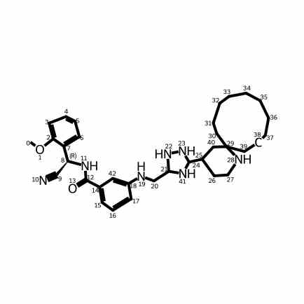 COc1ccccc1[C@H](C#N)NC(=O)c1cccc(NCC2NNC(C3CCNC4(CCCCCCCCCC4)C3)N2)c1